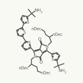 CCCCCCCCCCCCC(CCCCCCCCCC)CN1C(=O)C2=C(c3ccc(C(C)(C)N)s3)N(CC(CCCCCCCCCC)CCCCCCCCCCCC)C(=O)C2=C1c1ccc(-c2ccc(-c3ccc(C(C)(C)N)s3)s2)s1